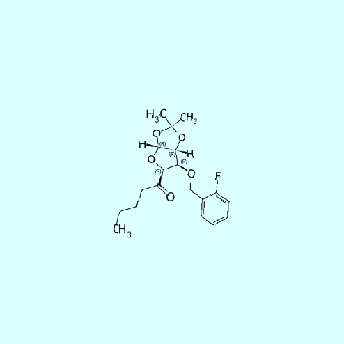 CCCCC(=O)[C@H]1O[C@@H]2OC(C)(C)O[C@@H]2[C@H]1OCc1ccccc1F